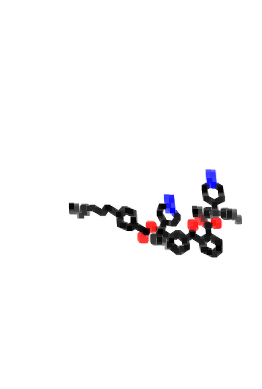 CCCCc1ccc(C(=O)OC(C)(c2cccc(C(=O)c3ccccc3C(=O)OC(C)(C)C3CCNCC3)c2)C2CCNCC2)cc1